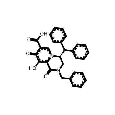 O=C(O)c1cn2c(c(O)c1=O)C(=O)N(Cc1ccccc1)C[C@@H]2C(c1ccccc1)c1ccccc1